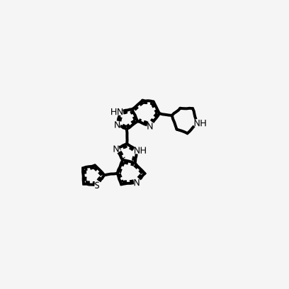 c1csc(-c2cncc3[nH]c(-c4n[nH]c5ccc(C6CCNCC6)nc45)nc23)c1